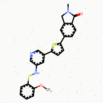 CN1Cc2cc(-c3ccc(-c4cncc(NSc5ccccc5OC(F)(F)F)c4)s3)ccc2C1=O